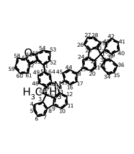 CC1(C)c2ccccc2-c2cccc(N(c3ccc(-c4ccc5c(c4)-c4ccccc4C5(c4ccccc4)c4ccccc4)cc3)c3cccc(-c4cccc5oc6ccccc6c45)c3)c21